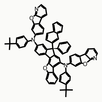 CC(C)(C)c1ccc(N(c2ccc3c(c2)[C@](c2ccccc2)(c2ccc4ccccc4c2)c2cc(N(c4ccc(C(C)(C)C)cc4)c4ccc5c(c4)oc4ncccc45)c4c(oc5ccccc54)c2-3)c2ccc3c(c2)oc2ncccc23)cc1